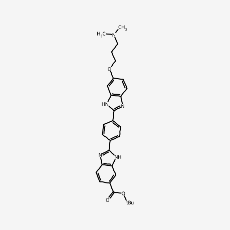 CN(C)CCCOc1ccc2nc(-c3ccc(-c4nc5ccc(C(=O)OC(C)(C)C)cc5[nH]4)cc3)[nH]c2c1